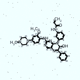 C=CC(=O)Nc1cccc(N2c3nc(Nc4ccc(N5CCN(C)CC5)cc4OC)ncc3N=C(c3ccccc3)C2O)c1